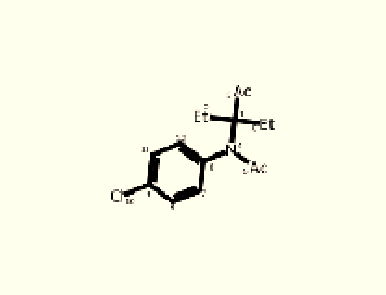 CCC(CC)(C(C)=O)N(C(C)=O)c1ccc(Cl)cc1